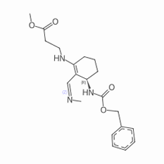 C/N=C\C1=C(NCCC(=O)OC)CCC[C@H]1NC(=O)OCc1ccccc1